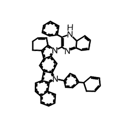 C1=CCC(c2ccc(-n3c4cc5c(cc4c4ccc6ccccc6c43)c3c(n5C4=C(c5ccccc5)NC5C=CC=CC5=N4)C=CCC3)cc2)C=C1